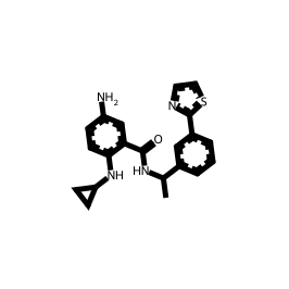 CC(NC(=O)c1cc(N)ccc1NC1CC1)c1cccc(-c2nccs2)c1